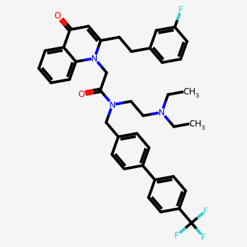 CCN(CC)CCN(Cc1ccc(-c2ccc(C(F)(F)F)cc2)cc1)C(=O)Cn1c(CCc2cccc(F)c2)cc(=O)c2ccccc21